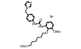 CCCCCCCCCCCCCCCCOc1c(NC(=O)Nc2ccc(C[n+]3ccsc3)cc2)cccc1OC.[Br-]